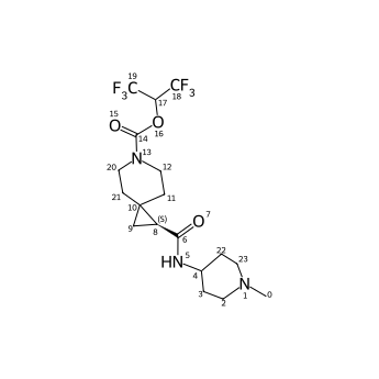 CN1CCC(NC(=O)[C@H]2CC23CCN(C(=O)OC(C(F)(F)F)C(F)(F)F)CC3)CC1